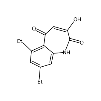 CCc1cc(CC)c2c(=O)cc(O)c(=O)[nH]c2c1